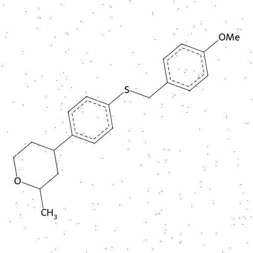 COc1ccc(CSc2ccc(C3CCOC(C)C3)cc2)cc1